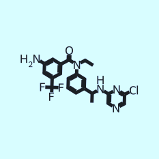 CCN(C(=O)c1cc(N)cc(C(F)(F)F)c1)c1cccc(C(C)Nc2cncc(Cl)n2)c1